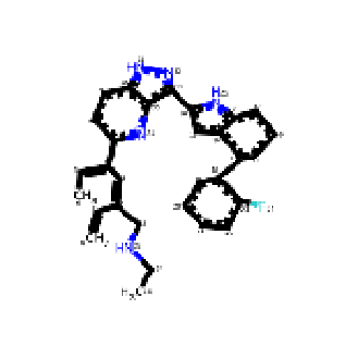 C=C/C(=C\C(=C/C)c1ccc2[nH]nc(-c3cc4c(-c5ccccc5F)cccc4[nH]3)c2n1)CNCC